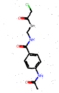 CC(=O)Nc1ccc(C(=O)N[CH2][Sn][C](=O)CCl)cc1